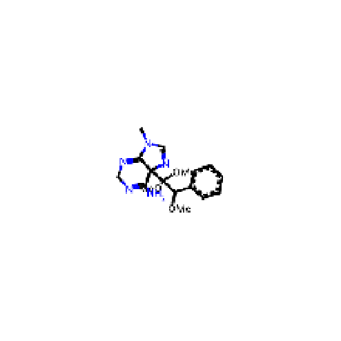 COC(c1ccccc1)C(OC)(OC)C12N=CN(C)C1=NCN=C2N